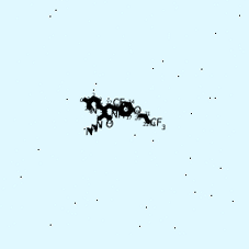 Cc1ccc(C2=C(CN=[N+]=[N-])C(=O)N[C@@](c3ccc(OCCCC(F)(F)F)cc3)(C(F)(F)F)C2)nc1